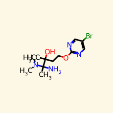 CN(C)C(C)(N)C(C)(O)CCOc1ncc(Br)cn1